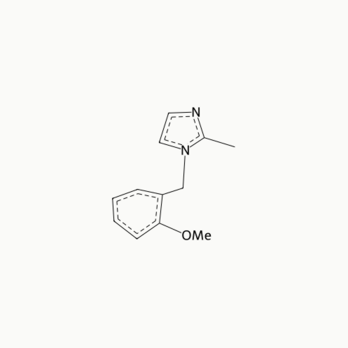 COc1ccccc1Cn1ccnc1C